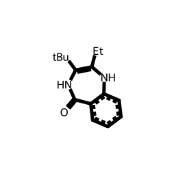 CCC1=C(C(C)(C)C)NC(=O)c2ccccc2N1